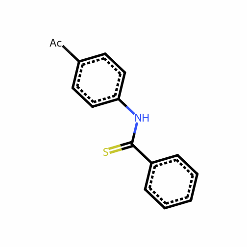 CC(=O)c1ccc(NC(=S)c2ccccc2)cc1